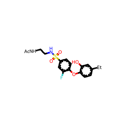 CCc1ccc(Oc2ccc(S(=O)(=O)NCCNC(C)=O)cc2F)c(O)c1